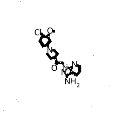 COc1cc(N2CCC(C(=O)Cn3nc(N)c4cccnc43)CC2)ccc1Cl